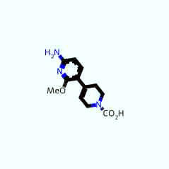 COc1nc(N)ccc1C1=CCN(C(=O)O)CC1